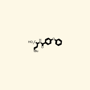 CC(C)(C)/C=C/C(NC(=O)c1ccc(Oc2ccccc2)cc1)C(=O)O